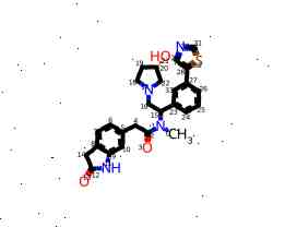 CN(C(=O)Cc1ccc2c(c1)NC(=O)C2)C(CN1CC[C@H](O)C1)c1cccc(-c2cncs2)c1